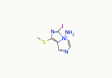 CSC1=C2C=NC=C[N+]2(N)C(I)=N1